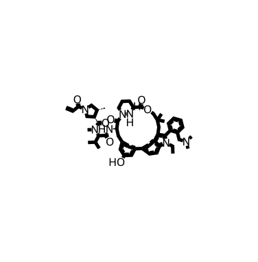 C=CC(=O)N1C[C@H](C)[C@H](C(=O)N(C)C(C(=O)N[C@H]2Cc3cc(O)cc(c3)-c3ccc4c(c3)c(c(-c3ccccc3CN(C)C)n4CC)CC(C)(C)COC(=O)[C@@H]3CCCN(N3)C2=O)C(C)C)C1